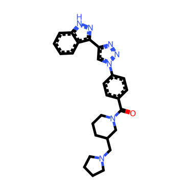 O=C(c1ccc(-n2cc(-c3n[nH]c4ccccc34)nn2)cc1)N1CCCC(CN2CCCC2)C1